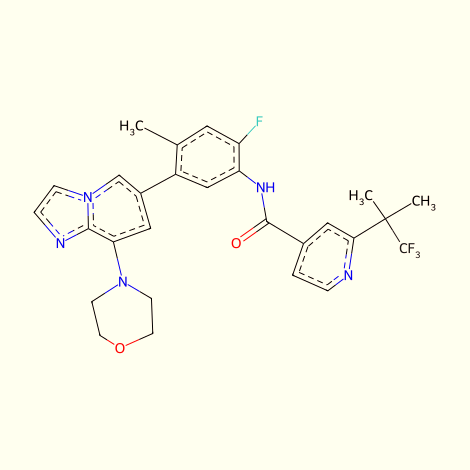 Cc1cc(F)c(NC(=O)c2ccnc(C(C)(C)C(F)(F)F)c2)cc1-c1cc(N2CCOCC2)c2nccn2c1